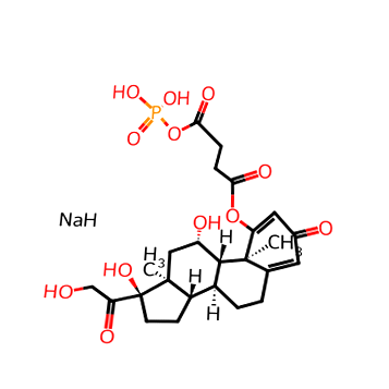 C[C@@]12C(=CC(=O)C=C1OC(=O)CCC(=O)OP(=O)(O)O)CC[C@@H]1[C@@H]2[C@@H](O)C[C@@]2(C)[C@H]1CC[C@]2(O)C(=O)CO.[NaH]